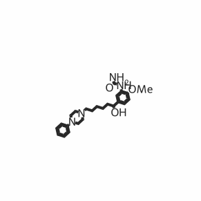 COc1ccc(C(O)CCCCCN2CCN(c3ccccc3)CC2)cc1NC(N)=O